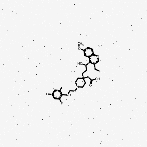 COc1ccc2ncc(CF)c(C(O)CCC3(CC(=O)O)CCN(CCNc4c(F)cc(F)cc4F)CC3)c2c1